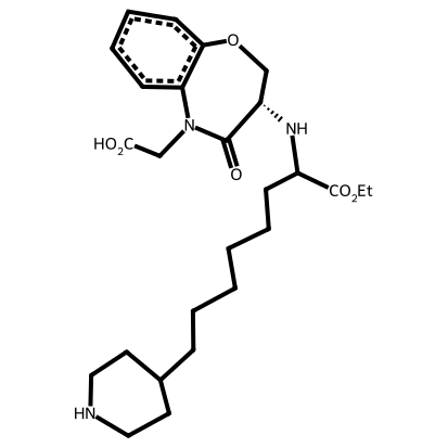 CCOC(=O)C(CCCCCCC1CCNCC1)N[C@H]1COc2ccccc2N(CC(=O)O)C1=O